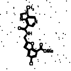 COC(=O)c1cc(Cl)cc2cc(CNC(=O)c3cncc4c3ncn4C)oc12